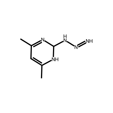 CC1=CC(C)=NC(NN=N)N1